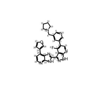 Fc1c(-c2cncc(CN3CCCC3)c2)cnc2[nH]nc(-c3nc4c(-c5ccoc5)ccnc4[nH]3)c12